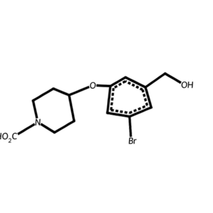 O=C(O)N1CCC(Oc2cc(Br)cc(CO)c2)CC1